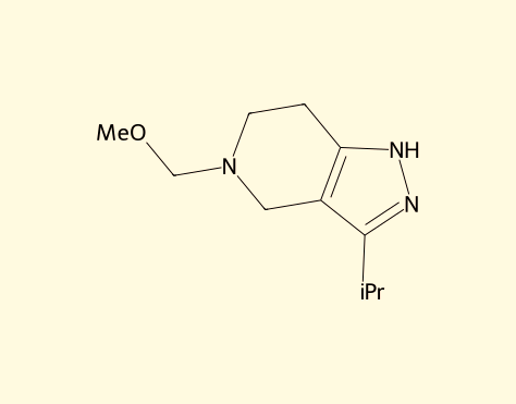 COCN1CCc2[nH]nc(C(C)C)c2C1